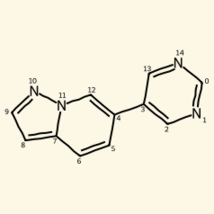 c1ncc(-c2ccc3ccnn3c2)cn1